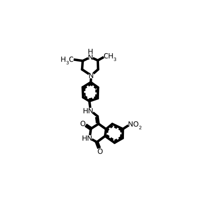 CC1CN(c2ccc(NC=C3C(=O)NC(=O)c4ccc([N+](=O)[O-])cc43)cc2)CC(C)N1